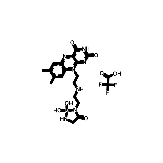 Cc1cc2nc3c(=O)[nH]c(=O)nc-3n(CCNCCN3C(=O)CNS3(O)O)c2cc1C.O=C(O)C(F)(F)F